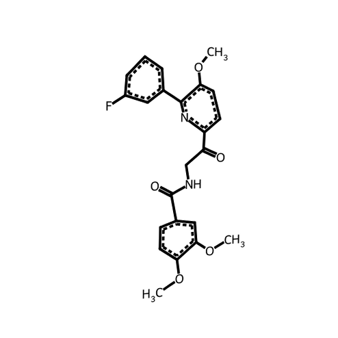 COc1ccc(C(=O)NCC(=O)c2ccc(OC)c(-c3cccc(F)c3)n2)cc1OC